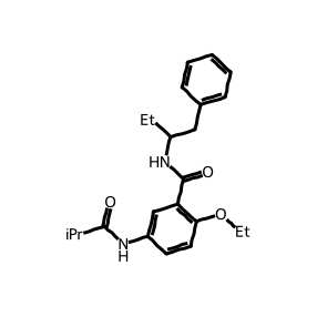 CCOc1ccc(NC(=O)C(C)C)cc1C(=O)NC(CC)Cc1ccccc1